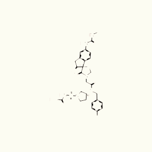 CNC(=O)Nc1ccc2c(c1)CC(=O)[C@]21OCN(CC(=O)N(Cc2ccc(F)cc2)[C@@H]2CCN(S(=O)(=O)NC(=O)O)C2)C1=O